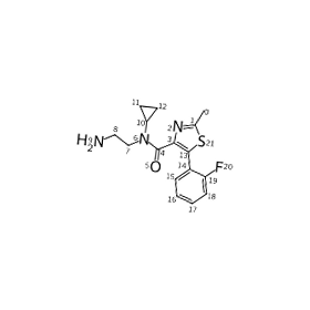 Cc1nc(C(=O)N(CCN)C2CC2)c(-c2ccccc2F)s1